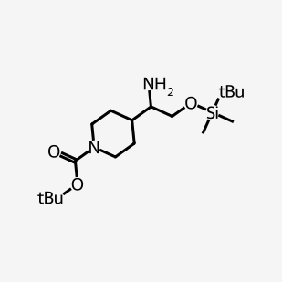 CC(C)(C)OC(=O)N1CCC(C(N)CO[Si](C)(C)C(C)(C)C)CC1